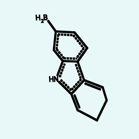 Bc1ccc2c3c([nH]c2c1)=CCCC=3